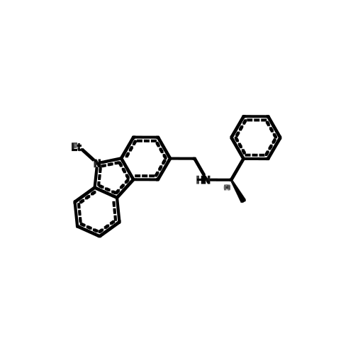 CCn1c2ccccc2c2cc(CN[C@H](C)c3ccccc3)ccc21